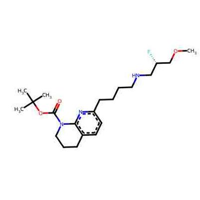 COC[C@@H](F)CNCCCCc1ccc2c(n1)N(C(=O)OC(C)(C)C)CCC2